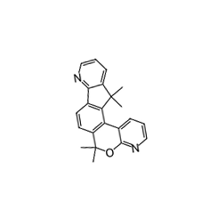 CC1(C)Oc2ncccc2-c2c1ccc1c2C(C)(C)c2cccnc2-1